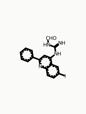 N=C(NC=O)Nc1cc(-c2ccccc2)nc2ccc(I)cc12